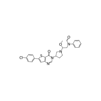 COC(CN(C=O)c1ccccc1)N1CCC(n2cnc3cc(-c4ccc(Cl)cc4)sc3c2=O)C1